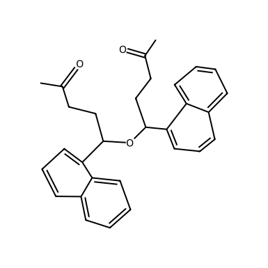 CC(=O)CCC(OC(CCC(C)=O)c1cccc2ccccc12)c1cccc2ccccc12